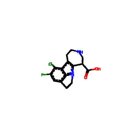 O=C(O)C1CNCCc2c1n1c3c(cc(F)c(Cl)c23)CC1